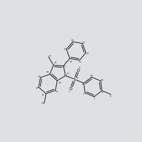 Cc1ccc(S(=O)(=O)n2c(-c3ccccc3)c(C)c3ccc(C)cc32)cc1